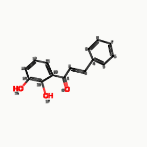 O=C(C=Cc1ccccc1)c1cccc(O)c1O